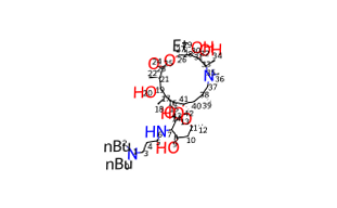 CCCCN(CCCC)CCCNC1C(O)C[C@@H](C)O[C@H]1O[C@@H]1[C@@H](C)[C@H](O)[C@@H](C)C(=O)O[C@H](CC)[C@@](C)(O)[C@H](O)[C@@H](C)N(C)C[C@H](C)C[C@@]1(C)O